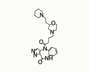 Cn1ncc2c1C(=O)Nc1ccccc1N2C(=O)CCCN1CCOC(CCN2CCCCC2)C1